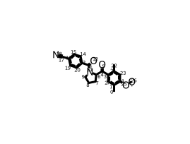 Cc1[c]c(C(=O)C2CCCN2C(=O)c2ccc(C#N)cc2)c(C)cc1O[O]